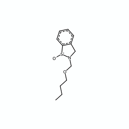 CCCCOCN1Cc2ccccc2[S+]1[O-]